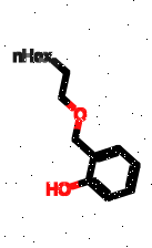 CCCCCCCCOCc1ccccc1O